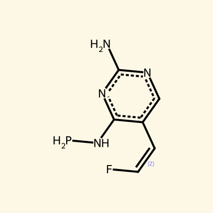 Nc1ncc(/C=C\F)c(NP)n1